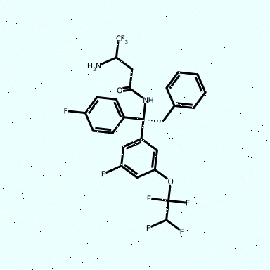 NC(CC(=O)N[C@](Cc1ccccc1)(c1ccc(F)cc1)c1cc(F)cc(OC(F)(F)C(F)F)c1)C(F)(F)F